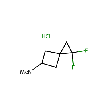 CNC1CC2(C1)CC2(F)F.Cl